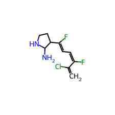 C=C(Cl)/C(F)=C\C=C(/F)C1CCNC1N